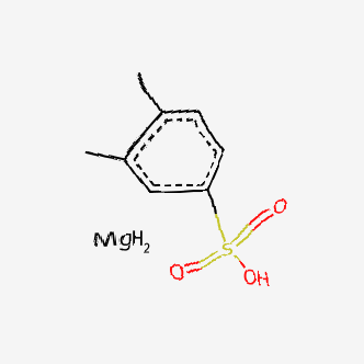 Cc1ccc(S(=O)(=O)O)cc1C.[MgH2]